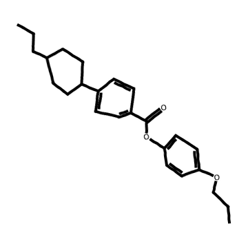 CCCOc1ccc(OC(=O)c2ccc(C3CCC(CCC)CC3)cc2)cc1